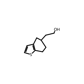 OCCC1CCc2sccc2C1